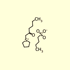 CCCCC(=O)C[S+]1CCCC1.CCCCS(=O)(=O)[O-]